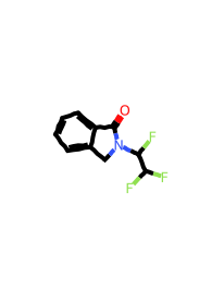 O=C1c2ccccc2CN1C(F)C(F)F